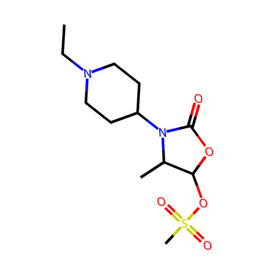 CCN1CCC(N2C(=O)OC(OS(C)(=O)=O)C2C)CC1